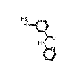 O=C(Nc1ccccn1)c1cccc(NS)c1